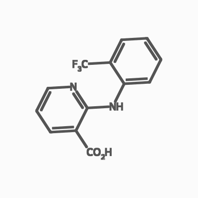 O=C(O)c1cccnc1Nc1ccccc1C(F)(F)F